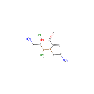 C=CC(=O)O.Cl.Cl.NCCSSCCN